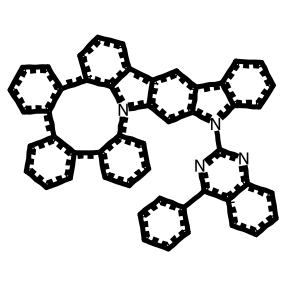 c1ccc(-c2nc(-n3c4ccccc4c4cc5c6cccc7c8ccccc8c8ccccc8c8ccccc8n(c5cc43)c76)nc3ccccc23)cc1